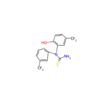 NC(=S)N(c1cccc(C(F)(F)F)c1)c1cc(C(F)(F)F)ccc1O